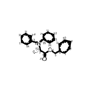 C[C@@H](C(=O)OCc1ccccc1)N(c1ccccc1)c1ccccc1